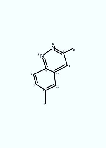 Cc1ccc2nnc(C)cc2c1